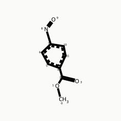 COC(=O)c1ccc(N=O)cc1